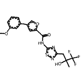 COc1cccc(-c2coc(C(=O)Nc3nc(CC(C)(O)C(F)(F)F)ns3)c2)c1